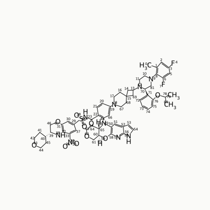 Cc1cc(F)cc(F)c1N1CCN(C2CC3(CCN(c4ccc(C(=O)NS(=O)(=O)c5cc6c(c([N+](=O)[O-])c5)N[C@H](C5CCOCC5)CO6)c(N5c6cc7cc[nH]c7nc6O[C@H]6COCC[C@@H]65)c4)CC3)C2)[C@H](c2ccccc2OC(C)C)C1